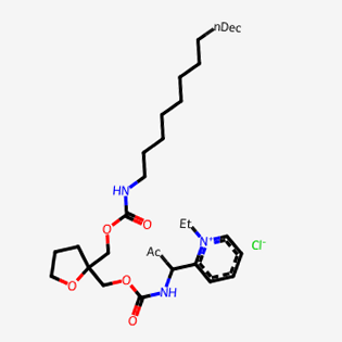 CCCCCCCCCCCCCCCCCCNC(=O)OCC1(COC(=O)NC(C(C)=O)c2cccc[n+]2CC)CCCO1.[Cl-]